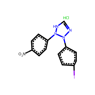 Cl.O=[N+]([O-])c1ccc(N2NC=NN2c2ccc(I)cc2)cc1